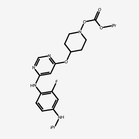 CC(C)Nc1ccc(Nc2cc(OC3CCN(OC(=O)OC(C)C)CC3)ncn2)c(F)c1